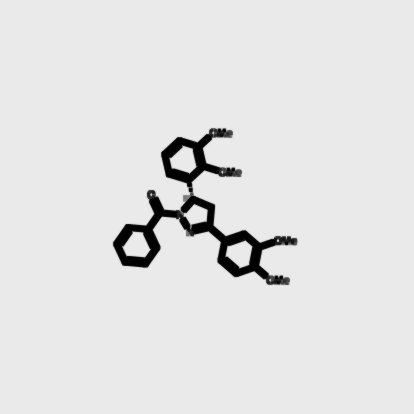 COc1ccc(C2=NN(C(=O)c3ccccc3)[C@H](c3cccc(OC)c3OC)C2)cc1OC